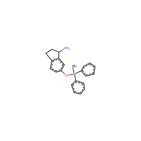 CC(C)(C)[Si](Oc1ccc2c(c1)C(N)CC2)(c1ccccc1)c1ccccc1